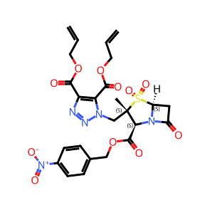 C=CCOC(=O)c1nnn(C[C@@]2(C)[C@H](C(=O)OCc3ccc([N+](=O)[O-])cc3)N3C(=O)C[C@@H]3S2(=O)=O)c1C(=O)OCC=C